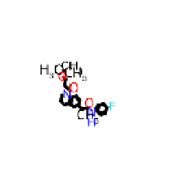 CC(C(=O)Nc1ccc(F)cc1)c1ccc2c(c1)CCCN2C(=O)CCOC(C)(C)C